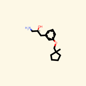 CC1(COc2cccc(C[C@H](O)CN)c2)CCCC1